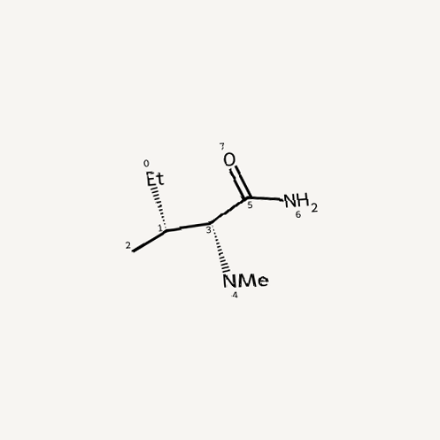 CC[C@@H](C)[C@@H](NC)C(N)=O